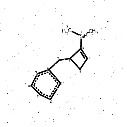 C[SiH](C)C1=CCC1Cc1ccccc1